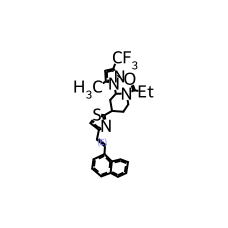 CCC(=O)N1CCC(c2nc(/C=C/c3cccc4ccccc34)cs2)CC1n1nc(C(F)(F)F)cc1C